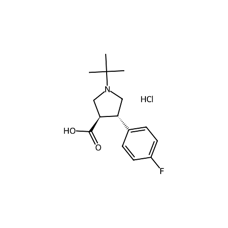 CC(C)(C)N1C[C@H](C(=O)O)[C@@H](c2ccc(F)cc2)C1.Cl